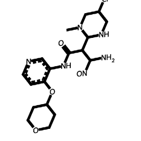 CN1CC(Cl)CNC1C(C(=O)Nc1cnccc1OC1CCOCC1)C(N)N=O